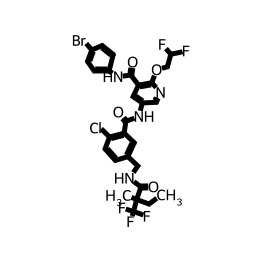 CCC(C)(C(=O)NCc1ccc(Cl)c(C(=O)Nc2cnc(OCC(F)F)c(C(=O)Nc3ccc(Br)cc3)c2)c1)C(F)(F)F